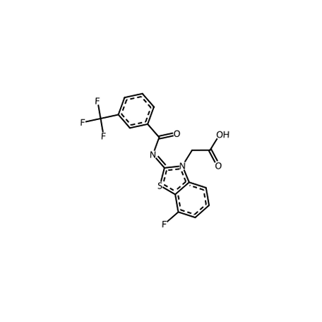 O=C(O)Cn1c(=NC(=O)c2cccc(C(F)(F)F)c2)sc2c(F)cccc21